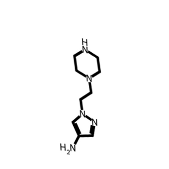 Nc1cnn(CCN2CCNCC2)c1